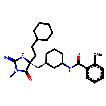 COc1ccccc1C(=O)NC1CCC[C@H](C[C@@]2(CCC3CCCCC3)NC(=N)N(C)C2=O)C1